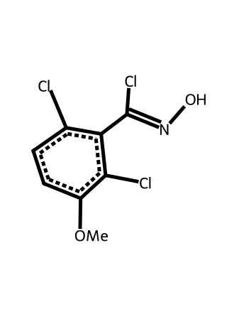 COc1ccc(Cl)c(/C(Cl)=N/O)c1Cl